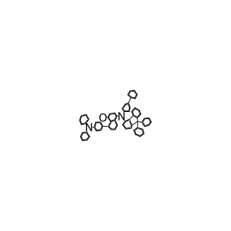 c1ccc(-c2ccc(N(c3cccc4c3-c3ccccc3C4(c3ccccc3)c3ccccc3)c3ccc4c5c(cccc35)-c3ccc(N(c5ccccc5)c5ccccc5)cc3O4)cc2)cc1